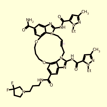 CCn1nc(C)cc1C(=O)Nc1nc2cc(C(N)=O)cc3c2n1C/C=C/Cn1c(NC(=O)c2cc(C)nn2CC)nc2cc(C(=O)NCCCN4CCC(F)(F)C4)cc(c21)OCCCO3